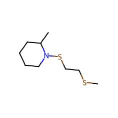 CSCCSN1CCCCC1C